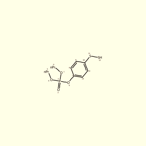 CCCOP(=O)(OCCC)Oc1ccc(SS)cc1